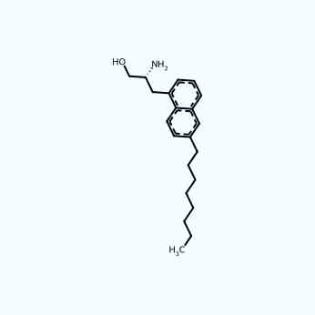 CCCCCCCCc1ccc2c(C[C@@H](N)CO)cccc2c1